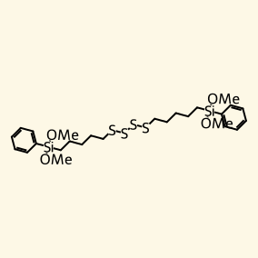 CO[Si](CCCCCSSSSCCCCC[Si](OC)(OC)c1ccccc1)(OC)c1ccccc1